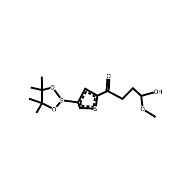 COC(O)CCC(=O)c1cc(B2OC(C)(C)C(C)(C)O2)cs1